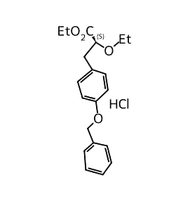 CCOC(=O)[C@H](Cc1ccc(OCc2ccccc2)cc1)OCC.Cl